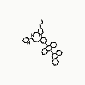 C=C/C=C\C=C/N1C(=C)/C=N\C(c2ccccn2)=C/Cc2cc(-c3c4ccccc4c(-c4cc5ccccc5c5ccccc45)c4ccccc34)ccc21